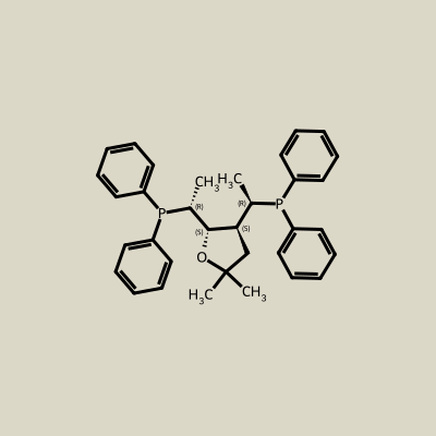 C[C@H]([C@H]1CC(C)(C)O[C@@H]1[C@@H](C)P(c1ccccc1)c1ccccc1)P(c1ccccc1)c1ccccc1